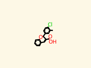 Cc1cc(C2Oc3ccccc3C=C2C(=O)O)ccc1Cl